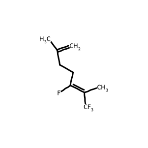 C=C(C)CC/C(F)=C(\C)C(F)(F)F